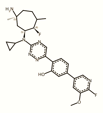 COc1cc(-c2ccc(-c3cnc(N(C4CC4)[C@H]4C[C@@](C)(N)CCC(C)[C@H]4F)nn3)c(O)c2)cnc1F